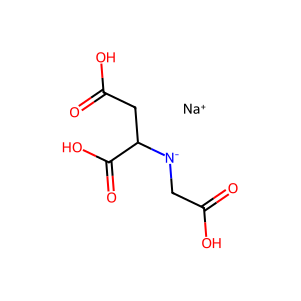 O=C(O)C[N-]C(CC(=O)O)C(=O)O.[Na+]